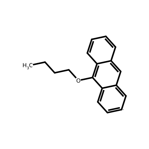 CCCCOc1c2cc[c]cc2cc2ccccc12